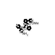 COc1cc(-c2cccc3nc([C@@H](C)Nc4nc(N)ncc4-c4ccncc4)n(-c4ccccc4)c(=O)c23)ccn1